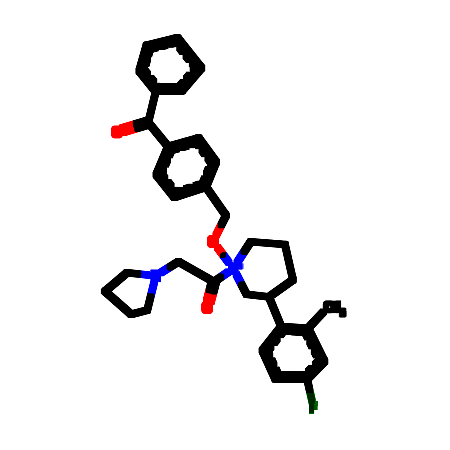 Cc1cc(F)ccc1C1CCC[N+](OCc2ccc(C(=O)c3ccccc3)cc2)(C(=O)CN2CCCC2)C1